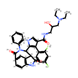 CCN(CC)CC(O)CNC(=O)c1cn(C)c(C2C3C(=O)Nc4ccc(cc43)C(=O)N2c2ccccc2)c1-c1ccc(F)cc1F